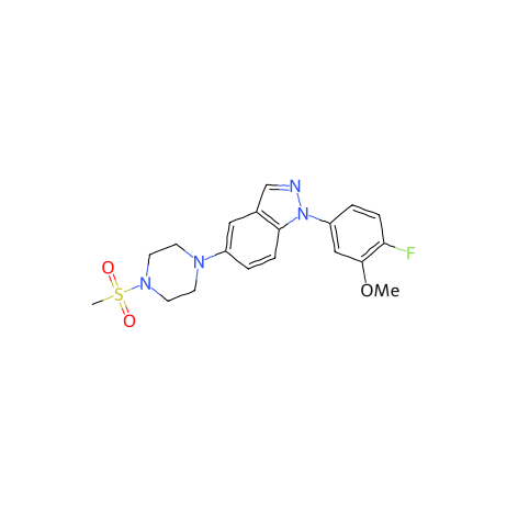 COc1cc(-n2ncc3cc(N4CCN(S(C)(=O)=O)CC4)ccc32)ccc1F